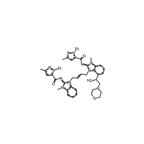 CCn1nc(C)cc1C(=O)/N=c1\n(C)c2ccccc2n1C/C=C/Cn1/c(=N/C(=O)c2cc(C)nn2CC)n(C)c2cccc(C(O)CN3CCOCC3)c21